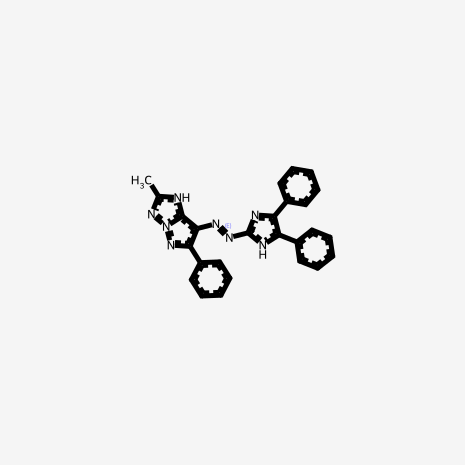 Cc1nn2nc(-c3ccccc3)c(/N=N/c3nc(-c4ccccc4)c(-c4ccccc4)[nH]3)c2[nH]1